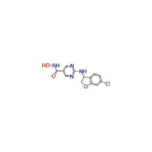 O=C(NO)c1cnc(NC2COc3cc(Cl)ccc32)nc1